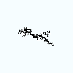 NCCCC[C@H](NC(CCC[C@@H]1SC[C@@H]2NC(=O)N[C@@H]21)C(=O)O)C(=O)O